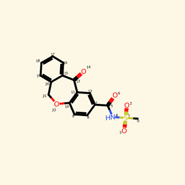 CS(=O)(=O)NC(=O)c1ccc2c(c1)C(=O)c1ccccc1CO2